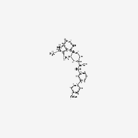 COc1ccc(-c2cccc(NC(=O)N3CC=C(c4ncnc5[nH]c(C)c(C)c45)CC3)c2)cc1